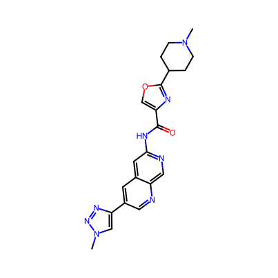 CN1CCC(c2nc(C(=O)Nc3cc4cc(-c5cn(C)nn5)cnc4cn3)co2)CC1